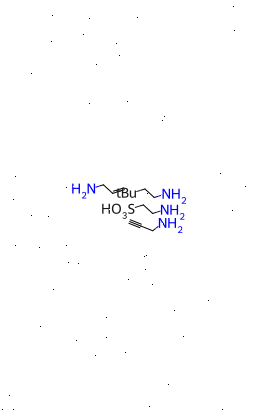 C#CCN.C=CCN.CC(C)(C)CCN.NCCS(=O)(=O)O